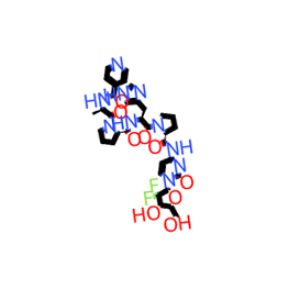 C[C@@H](NC(=O)c1ccncc1)C(=O)N1CCC[C@H]1C(=O)N[C@@H](Cc1c[nH]cn1)C(=O)N1CCC[C@@H]1C(=O)Nc1ccn(C2OC(CO)C(O)C2(F)F)c(=O)n1